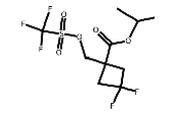 CC(C)OC(=O)C1(COS(=O)(=O)C(F)(F)F)CC(F)(F)C1